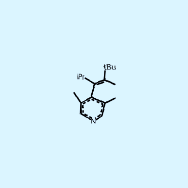 C/C(=C(\c1c(C)cncc1C)C(C)C)C(C)(C)C